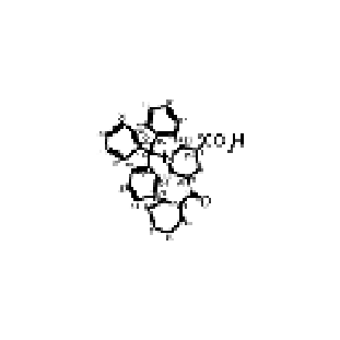 O=C(O)[C@H]1C[C@@H](C(=O)N2CCCCC2)CN(C(c2ccccc2)(c2ccccc2)c2ccccc2)C1